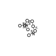 CC1(C)c2cc(-c3cccc4c3sc3c(-c5nc(-c6ccccc6)nc(-c6ccccc6)n5)cccc34)ccc2-c2c1ccc1nc(-c3ccccc3)sc21